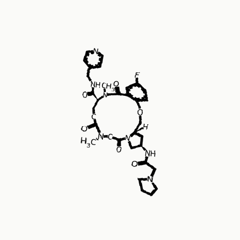 CN1CC(=O)N2C[C@H](NC(=O)CN3CCCC3)C[C@H]2COc2ccc(F)cc2C(=O)N(C)[C@H](C(=O)NCc2ccncc2)CCC1=O